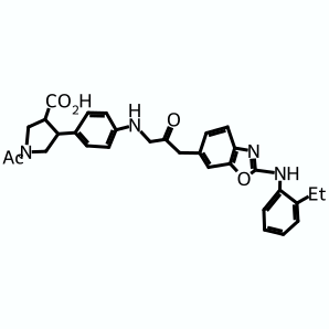 CCc1ccccc1Nc1nc2ccc(CC(=O)CNc3ccc(C4CN(C(C)=O)CC4C(=O)O)cc3)cc2o1